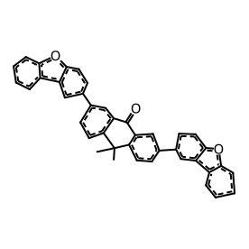 CC1(C)c2ccc(-c3ccc4oc5ccccc5c4c3)cc2C(=O)c2cc(-c3ccc4oc5ccccc5c4c3)ccc21